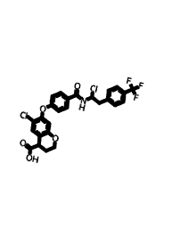 O=C(NC(Cl)Cc1ccc(C(F)(F)F)cc1)c1ccc(Oc2cc3c(cc2Cl)C(C(=O)O)CCO3)cc1